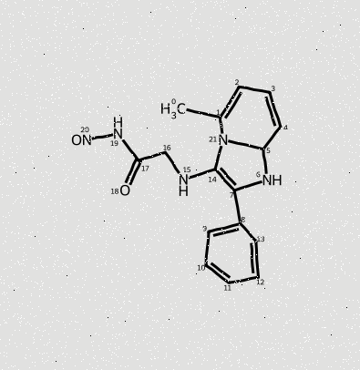 CC1=CC=CC2NC(c3ccccc3)=C(NCC(=O)NN=O)N12